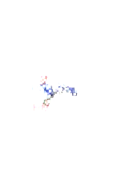 COC[C@H](C)Nc1ncc2c(-c3ccc(CN4CCN(C)CC4)nc3)cc([C@H]3CC[C@H](O)CC3)n2n1